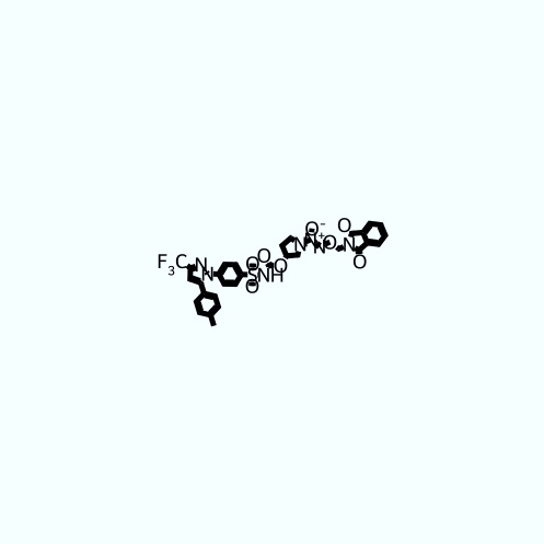 Cc1ccc(-c2cc(C(F)(F)F)nn2-c2ccc(S(=O)(=O)NC(=O)OC3CCN(/[N+]([O-])=N/OCN4C(=O)c5ccccc5C4=O)C3)cc2)cc1